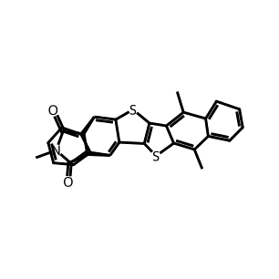 Cc1c2ccccc2c(C)c2c1sc1c2sc2c3c4ccccc4c(c21)C1C(=O)N(C)C(=O)C31